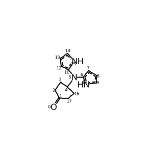 O=C1CCC(N(c2ccc[nH]2)c2ccc[nH]2)CC1